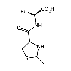 CC[C@H](C)[C@H](NC(=O)C1CSC(C)N1)C(=O)O